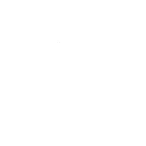 CCCCCCCCCCCCOC(=O)C(C)(O)C(=O)C(C)O